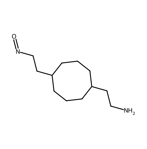 NCCC1CCCC(CCN=O)CCC1